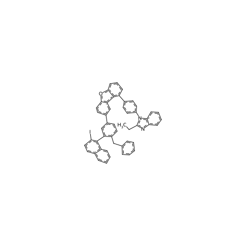 CCc1nc2ccccc2n1-c1ccc(-c2cccc3oc4ccc(-c5ccc(Cc6ccccc6)c(-c6c(I)ccc7ccccc67)c5)cc4c23)cc1